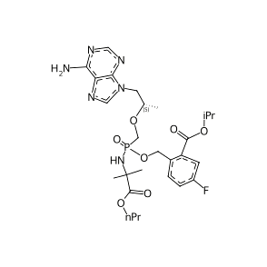 CCCOC(=O)C(C)(C)NP(=O)(CO[C@@H](C)Cn1cnc2c(N)ncnc21)OCc1ccc(F)cc1C(=O)OC(C)C